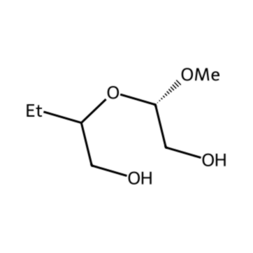 CCC(CO)O[C@@H](CO)OC